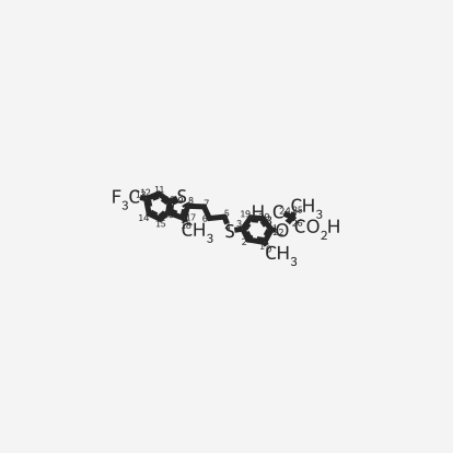 Cc1cc(SCCCc2sc3cc(C(F)(F)F)ccc3c2C)ccc1OC(C)(C)C(=O)O